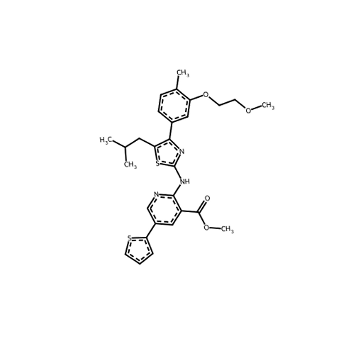 COCCOc1cc(-c2nc(Nc3ncc(-c4cccs4)cc3C(=O)OC)sc2CC(C)C)ccc1C